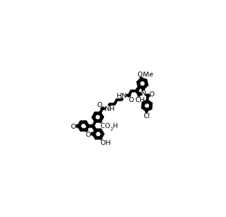 COc1ccc2c(c1)c(CC(=O)NCCCCNC(=O)c1ccc(-c3c4ccc(=O)cc-4oc4cc(O)ccc34)c(C(=O)O)c1)c(C)n2C(=O)c1ccc(Cl)cc1